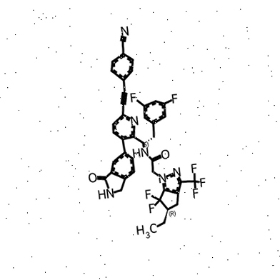 CC[C@@H]1Cc2c(C(F)(F)F)nn(CC(=O)N[C@@H](Cc3cc(F)cc(F)c3)c3nc(C#Cc4ccc(C#N)cc4)ccc3-c3ccc4c(c3)C(=O)NC4)c2C1(F)F